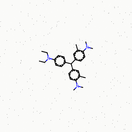 CCN(CC)c1ccc(C(c2ccc(N(C)C)c(C)c2)c2ccc(N(C)C)c(C)c2)cc1